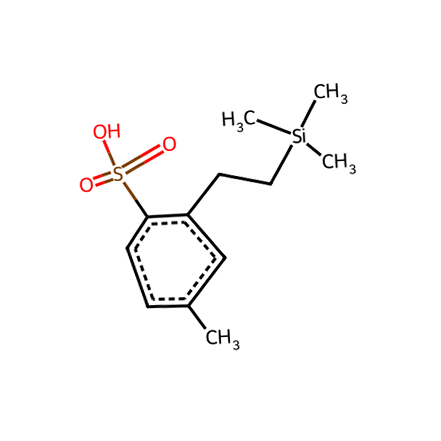 Cc1ccc(S(=O)(=O)O)c(CC[Si](C)(C)C)c1